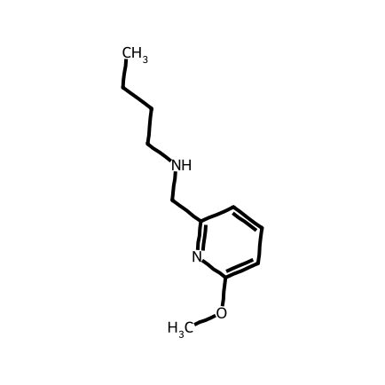 CCCCNCc1cccc(OC)n1